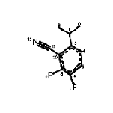 CC(C)c1ccc(F)c(F)c1C#N